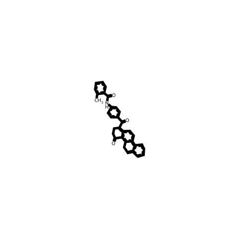 Cc1ccccc1C(=O)Nc1ccc(C(=O)C2=c3ccc4c(c3C(=O)CC2)CC=c2ccccc2=4)cc1